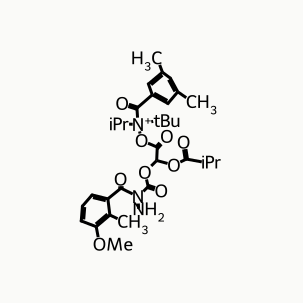 COc1cccc(C(=O)N(N)C(=O)OC(OC(=O)C(C)C)C(=O)O[N+](C(=O)c2cc(C)cc(C)c2)(C(C)C)C(C)(C)C)c1C